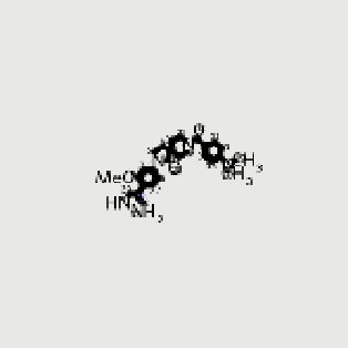 COc1cc(N2CCC3(CCN(C(=O)c4ccc(N(C)C)cc4)CC3)C2=O)ccc1/C(C=N)=C/N